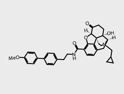 COc1ccc(-c2ccc(CCNC(=O)c3ccc4c5c3O[C@H]3C(=O)CC[C@@]6(O)[C@@H](C4)N(CC4CC4)CC[C@]536)cc2)cc1